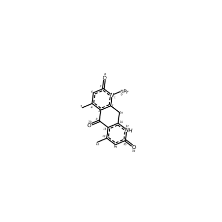 CCCn1c2c(c(C)cc1=O)C(=O)c1c(C)cc(=O)[nH]c1C2